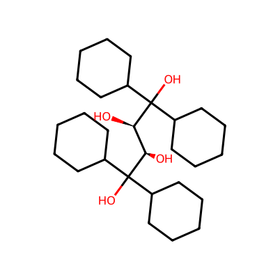 O[C@H]([C@@H](O)C(O)(C1CCCCC1)C1CCCCC1)C(O)(C1CCCCC1)C1CCCCC1